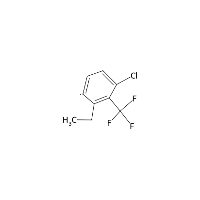 CCc1[c]ccc(Cl)c1C(F)(F)F